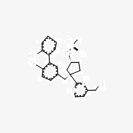 CS(=O)(=O)N[C@H]1CC[C@](Cc2ccc(F)c(-c3ccccc3O)c2)(c2nccc(CCl)n2)C1